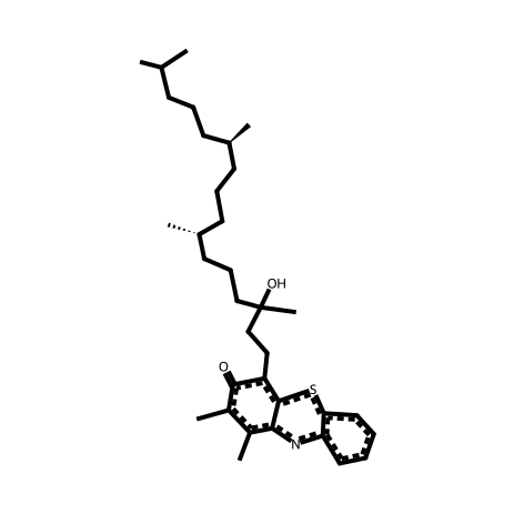 Cc1c2nc3ccccc3sc-2c(CCC(C)(O)CCC[C@H](C)CCC[C@H](C)CCCC(C)C)c(=O)c1C